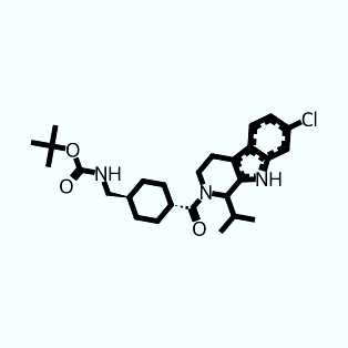 CC(C)C1c2[nH]c3cc(Cl)ccc3c2CCN1C(=O)[C@H]1CC[C@H](CNC(=O)OC(C)(C)C)CC1